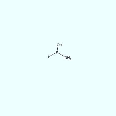 NP(O)I